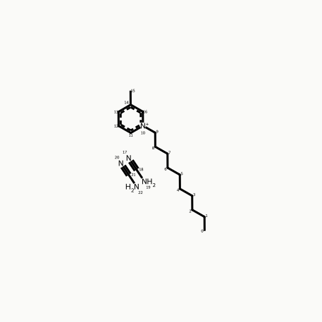 CCCCCCCCCC[n+]1cccc(C)c1.N#CN.N#CN